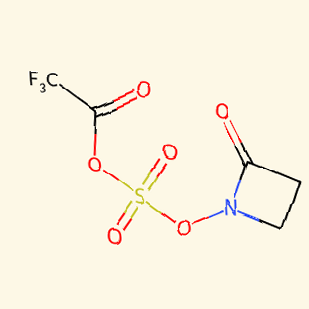 O=C1CCN1OS(=O)(=O)OC(=O)C(F)(F)F